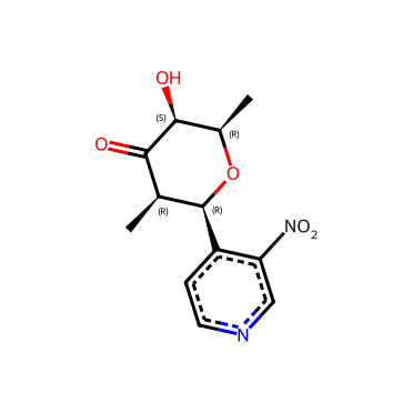 C[C@H]1O[C@@H](c2ccncc2[N+](=O)[O-])[C@@H](C)C(=O)[C@H]1O